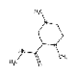 CNC(=O)C1CN(C)CCN1C